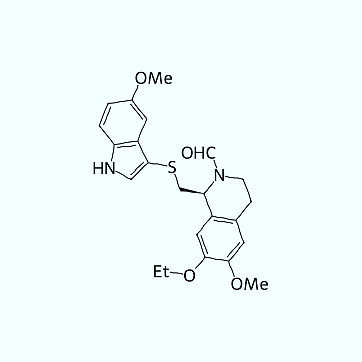 CCOc1cc2c(cc1OC)CCN(C=O)[C@@H]2CSc1c[nH]c2ccc(OC)cc12